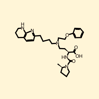 C[C@@H]1CCCN1C(=O)N[C@@H](CCN(CCCCc1ccc2c(n1)NCCC2)CCOc1ccccc1)C(=O)O